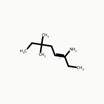 CC/C(N)=C/CC(C)(C)CC